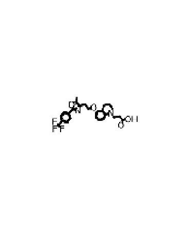 Cc1oc(-c2ccc(C(F)(F)F)cc2)nc1CCOc1cccc2c1CCCN2CCC(=O)O